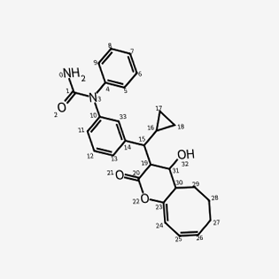 NC(=O)N(c1ccccc1)c1cccc(C(C2CC2)C2C(=O)OC3=CC=CCCCC3C2O)c1